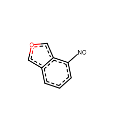 O=Nc1cccc2cocc12